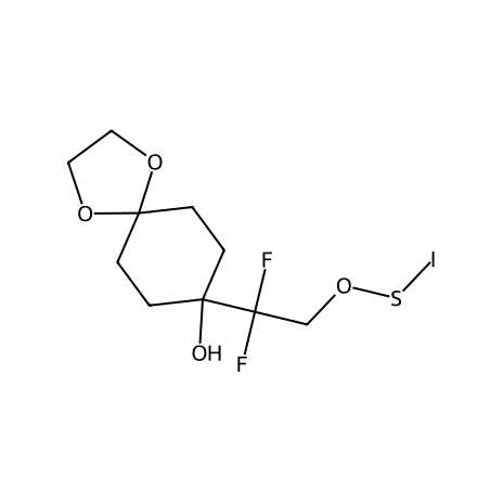 OC1(C(F)(F)COSI)CCC2(CC1)OCCO2